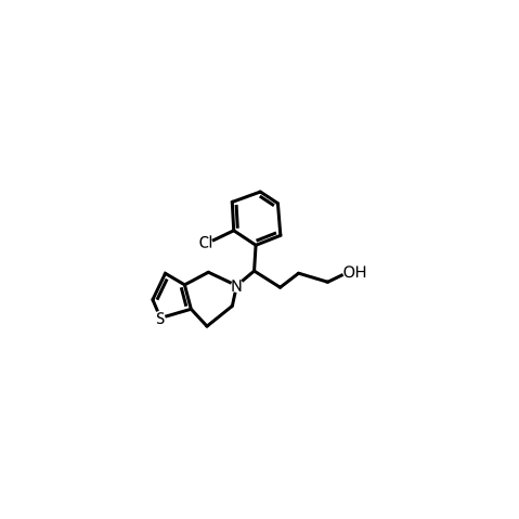 OCCCC(c1ccccc1Cl)N1CCc2sccc2C1